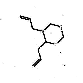 C=CCB1COCOC1CC=C